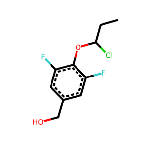 CCC(Cl)Oc1c(F)cc(CO)cc1F